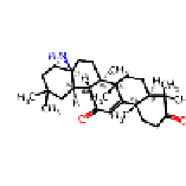 CC1(C)CC[C@]2(N)CC[C@]3(C)[C@H](C(=O)C=C4[C@@]5(C)CCC(=O)C(C)(C)[C@@H]5CC[C@]43C)[C@@H]2C1